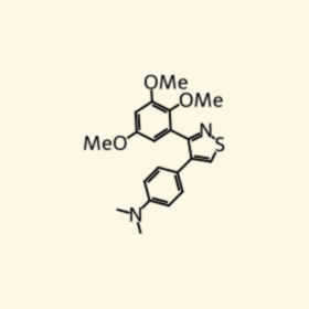 COc1cc(OC)c(OC)c(-c2nscc2-c2ccc(N(C)C)cc2)c1